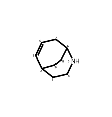 C1=CC2CCNC(C1)CC2